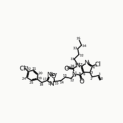 C=CCC1C(Cl)=Nc2c1c(=O)n(CCCc1nc(Cc3ccc(Cl)cc3)no1)c(=O)n2CCCCC